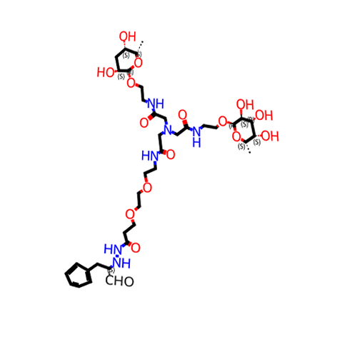 C[C@@H]1O[C@@H](OCCNC(=O)CN(CC(=O)NCCOCCOCCC(=O)NN[C@H](C=O)Cc2ccccc2)CC(=O)NCCO[C@@H]2O[C@@H](C)[C@@H](O)C[C@@H]2O)[C@@H](O)[C@H](O)[C@@H]1O